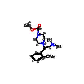 CCN(CC)CC(c1ccccc1OC)N1CCN(C(=O)OC(C)(C)C)CC1